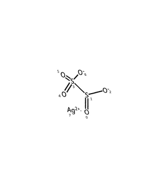 O=S([O-])S(=O)(=O)[O-].[Ag+2]